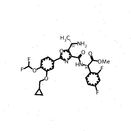 COC(=O)[C@H](NC(=O)c1nc(-c2ccc(OC(F)F)c(OCC3CC3)c2)oc1[C@H](C)N)c1ccc(F)cc1F